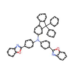 c1ccc(C2(c3ccccc3)c3ccccc3-c3ccc(N(c4ccc(-c5nc6ccccc6o5)cc4)c4ccc(-c5nc6ccccc6o5)cc4)cc32)cc1